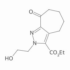 CCOC(=O)c1c2c(nn1CCO)C(=O)CCCC2